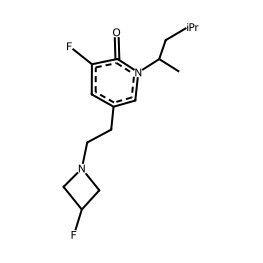 CC(C)CC(C)n1cc(CCN2CC(F)C2)cc(F)c1=O